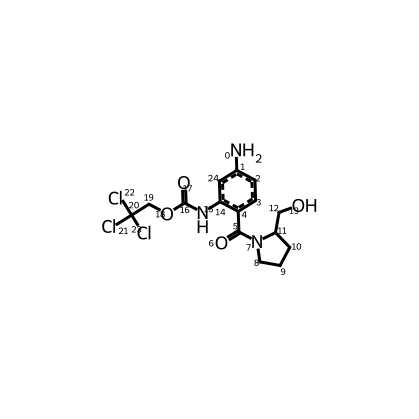 Nc1ccc(C(=O)N2CCCC2CO)c(NC(=O)OCC(Cl)(Cl)Cl)c1